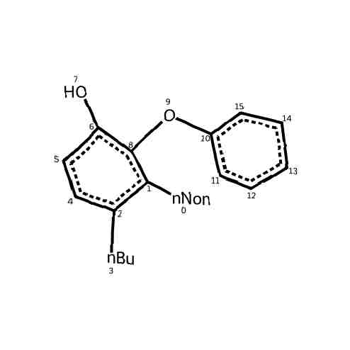 CCCCCCCCCc1c(CCCC)ccc(O)c1Oc1ccccc1